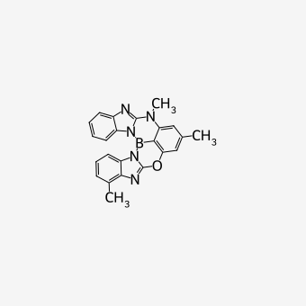 Cc1cc2c3c(c1)N(C)c1nc4ccccc4n1B3n1c(nc3c(C)cccc31)O2